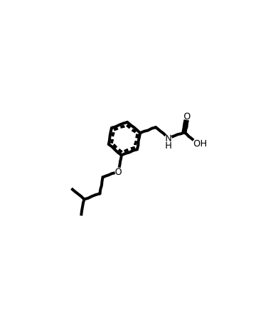 CC(C)CCOc1cccc(CNC(=O)O)c1